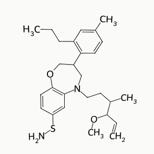 C=CC(OC)C(C)CCN1CC(c2ccc(C)cc2CCC)COc2ccc(SN)cc21